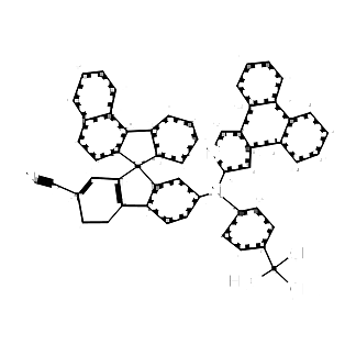 CC(C)(C)c1ccc(N(c2ccc3c(c2)C2(C4=C3CCC(C#N)=C4)c3ccccc3-c3c2ccc2ccccc32)c2cc3c4ccccc4c4ccccc4c3cn2)cc1